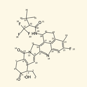 CC[C@@]1(O)C(=O)CCc2c1cc1n(c2=O)Cc2c-1nc1cc(F)c(C)c3c1c2C(NC(=O)C(C(C)(C)C)C(F)(F)F)CC3